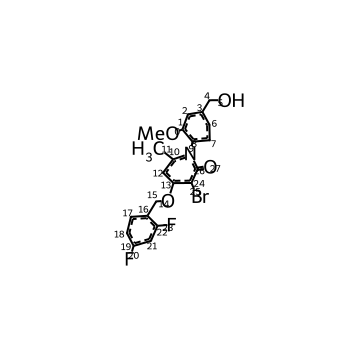 COc1cc(CO)ccc1-n1c(C)cc(OCc2ccc(F)cc2F)c(Br)c1=O